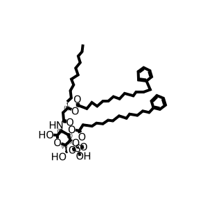 CCCCCCCCCCC[C@@H](CC(=O)N[C@H]1C(O)O[C@H](CO)[C@@H](OS(=O)(=O)O)[C@@H]1OC(=O)CCCCCCCCCCCCc1ccccc1)OC(=O)CCCCCCCCCCCCc1ccccc1